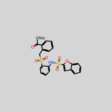 COC(=O)c1ccccc1CS(=O)(=O)c1ccccc1NS(=O)(=O)c1cc2ccccc2o1